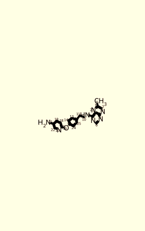 Cc1cnc2ncnc(NCCc3ccc(Oc4ccc(N)cn4)cc3)c2n1